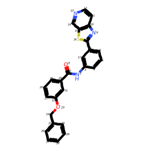 O=C(Nc1cccc(-c2nc3ccncc3s2)c1)c1cccc(OCc2ccccc2)c1